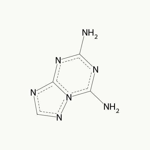 Nc1nc(N)n2ncnc2n1